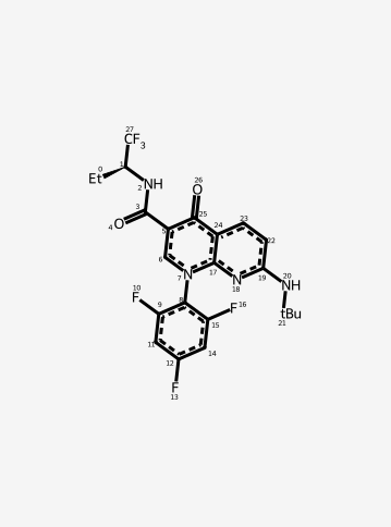 CC[C@H](NC(=O)c1cn(-c2c(F)cc(F)cc2F)c2nc(NC(C)(C)C)ccc2c1=O)C(F)(F)F